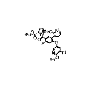 COc1ncccc1-c1cc(C(=O)N2CCC[C@H]2C(=O)OC(C)(C)C)c(F)cc1Oc1cnc(OC(C)C)c(Cl)c1